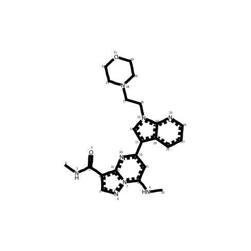 CNC(=O)c1cnn2c(NC)cc(-c3cn(CCN4CCOCC4)c4ncccc34)nc12